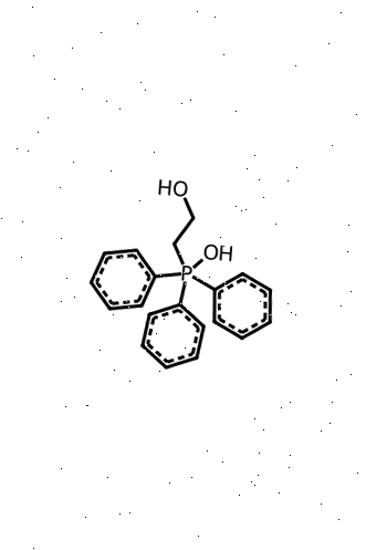 OCCP(O)(c1ccccc1)(c1ccccc1)c1ccccc1